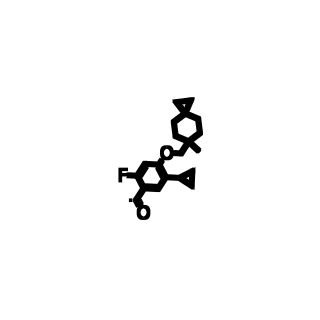 CC1(COc2cc(F)c([C]=O)cc2C2CC2)CCC2(CC1)CC2